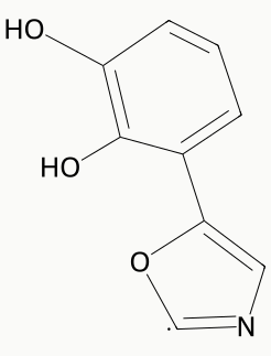 Oc1cccc(-c2cn[c]o2)c1O